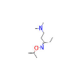 CC/C(CCN(C)C)=N/OC(C)C